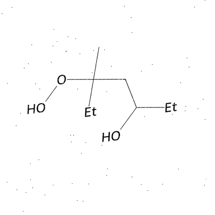 CCC(O)CC(C)(CC)OO